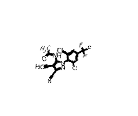 C#Cc1c(C#N)nn(-c2c(Cl)cc(C(F)(F)F)cc2Cl)c1NC(C)=O